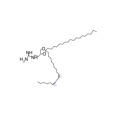 CCCCC/C=C\C/C=C\CCCCCCCCC1(CCCCCCCCCCCCCCCCCC)OCC(CCNC(=N)N)O1